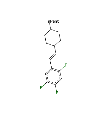 CCCCCC1CCC(C=Cc2cc(F)c(F)cc2F)CC1